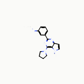 Cn1ccc2nc(-c3cccc(NC=O)c3)nc(N3CCCC3)c21